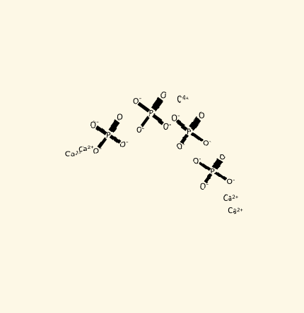 O=P([O-])([O-])[O-].O=P([O-])([O-])[O-].O=P([O-])([O-])[O-].O=P([O-])([O-])[O-].[C+4].[Ca+2].[Ca+2].[Ca+2].[Ca+2]